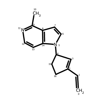 C=CC1=CC(n2ccc3c(C)nccc32)CC1